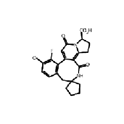 O=C1NC2(CCCC2)Cc2ccc(Cl)c(F)c2-c2cc(=O)n3c(c21)CCC3C(=O)O